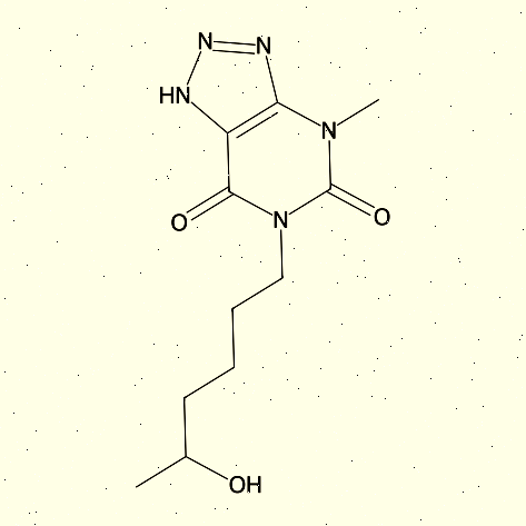 CC(O)CCCCn1c(=O)c2[nH]nnc2n(C)c1=O